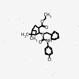 CCOC(=O)C1CC2CC(C1N(Cc1ccccc1)C(=O)Nc1ccc(Cl)cc1)C2(C)C